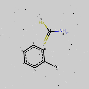 NC(=S)S.[Zn][c]1ccccc1